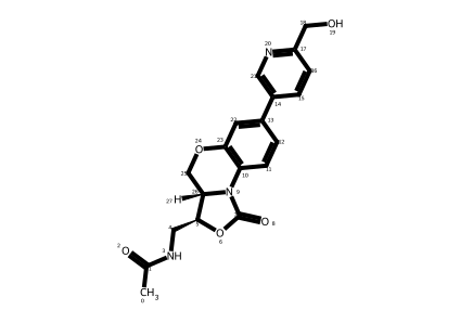 CC(=O)NC[C@@H]1OC(=O)N2c3ccc(-c4ccc(CO)nc4)cc3OC[C@@H]12